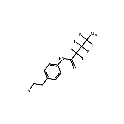 O=C(Nc1ccc(CC[S])cc1)C(F)(F)C(F)(F)C(F)(F)C(F)(F)F